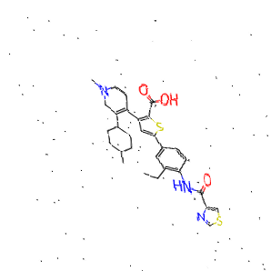 CCc1cc(-c2cc(C3=C(C4CCC(C)CC4)CN(C)CC3)c(C(=O)O)s2)ccc1NC(=O)c1cscn1